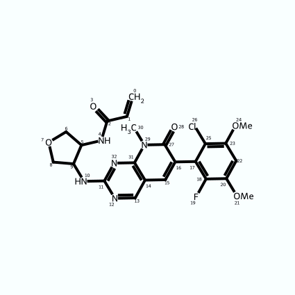 C=CC(=O)NC1COCC1Nc1ncc2cc(-c3c(F)c(OC)cc(OC)c3Cl)c(=O)n(C)c2n1